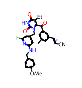 CCc1c(C(=O)c2cc(C)cc(/C=C/C#N)c2)n(Cc2cc(F)nc(NCc3ccc(OC)cc3)c2)c(=O)[nH]c1=O